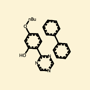 CCCCOc1ccc(-c2ncncn2)c(O)c1.c1ccc(-c2ccccc2)cc1